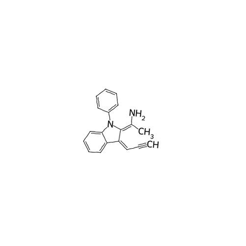 C#C/C=c1\c(=C(/C)N)n(-c2ccccc2)c2ccccc12